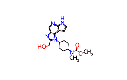 COC(=O)N(C)C1CCC(n2c(CO)nc3cnc4[nH]ccc4c32)CC1